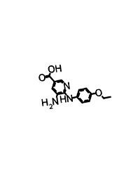 CCOc1ccc(Nc2ncc(C(=O)O)cc2N)cc1